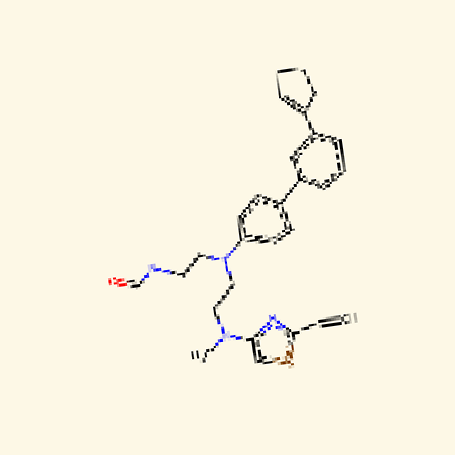 C#Cc1nc(N(C)CCN(CCNC=O)c2ccc(-c3cccc(C4=CCCC4)c3)cc2)cs1